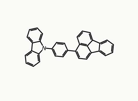 c1ccc2c(c1)-c1cccc3c(-c4ccc(-n5c6ccccc6c6ccccc65)cc4)ccc-2c13